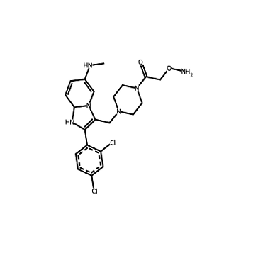 CNC1=CN2C(CN3CCN(C(=O)CON)CC3)=C(c3ccc(Cl)cc3Cl)NC2C=C1